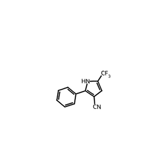 N#Cc1cc(C(F)(F)F)[nH]c1-c1ccccc1